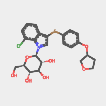 OC[C@H]1O[C@@H](n2cc(Sc3ccc(OC4CCOC4)cc3)c3cccc(Cl)c32)[C@H](O)[C@@H](O)[C@@H]1O